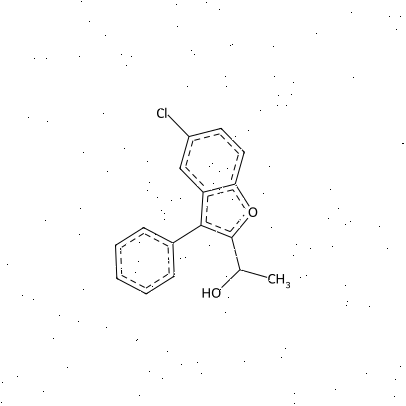 CC(O)c1oc2ccc(Cl)cc2c1-c1ccccc1